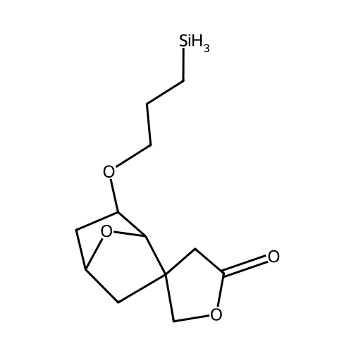 O=C1CC2(CO1)CC1CC(OCCC[SiH3])C2O1